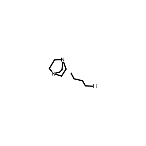 C1CN2CCN1CC2.[Li][CH2]CCC